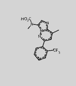 Cc1cc(-c2ccccc2C(F)(F)F)nn2c(N(C)C(=O)O)cnc12